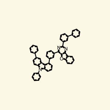 c1ccc(-c2cccc(-c3nc(-c4cccc(-c5cccc6c5c5cc(-c7ccccc7)ccc5n6-c5ccccc5)c4)c4oc5ccccc5c4n3)c2)cc1